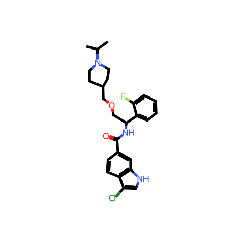 CC(C)N1CCC(COCC(NC(=O)c2ccc3c(Cl)c[nH]c3c2)c2ccccc2F)CC1